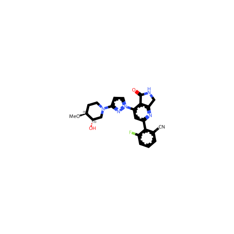 CO[C@H]1CCN(c2ccn(-c3cc(-c4c(F)cccc4C#N)nc4c3C(=O)NC4)n2)C[C@@H]1O